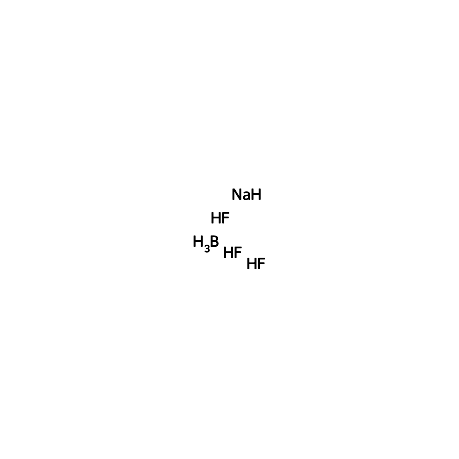 B.F.F.F.[NaH]